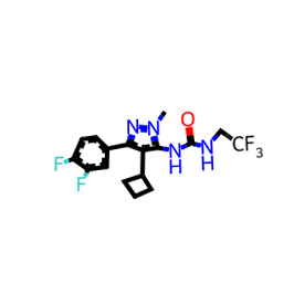 Cn1nc(-c2ccc(F)c(F)c2)c(C2CCC2)c1NC(=O)NCC(F)(F)F